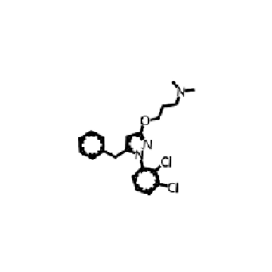 CN(C)CCCOc1cc(Cc2ccccc2)n(-c2cccc(Cl)c2Cl)n1